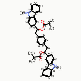 CCC(CC)C(=O)OC(Cc1ccc(CC(OC(=O)C(CC)CC)c2ccc3c(c2)c2ccccc2n3CC)cc1)c1ccc2c(c1)c1ccccc1n2CC